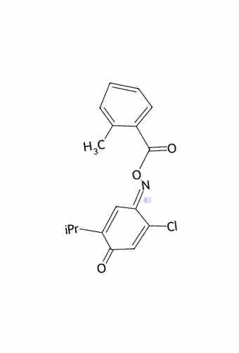 Cc1ccccc1C(=O)O/N=C1\C=C(C(C)C)C(=O)C=C1Cl